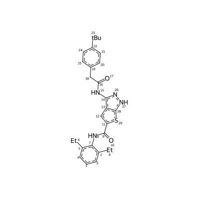 CCc1cccc(CC)c1NC(=O)c1cc2c(NC(=O)Cc3ccc(C(C)(C)C)cc3)n[nH]c2s1